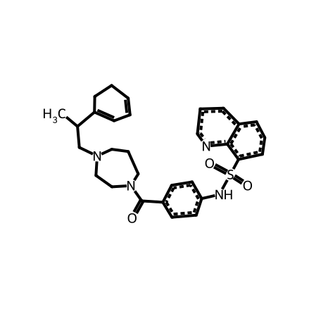 CC(CN1CCCN(C(=O)c2ccc(NS(=O)(=O)c3cccc4cccnc34)cc2)CC1)C1=CC=CCC1